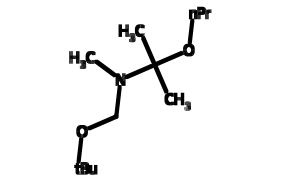 CCCOC(C)(C)N(C)COC(C)(C)C